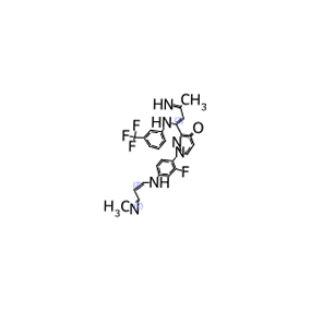 C/N=C\C=C/Nc1ccc(-n2ccc(=O)c(/C(=C/C(C)=N)Nc3cccc(C(F)(F)F)c3)n2)c(F)c1